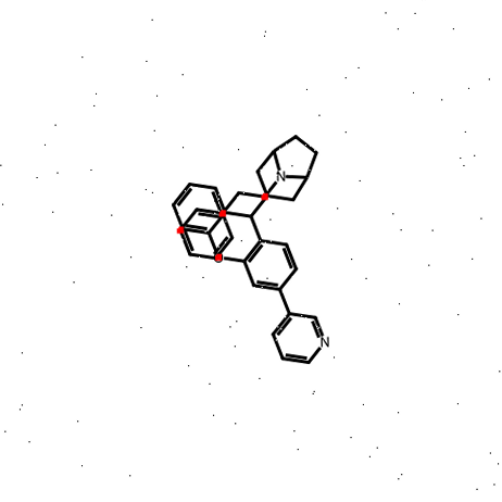 c1ccc(CCN2C3CCC2CC(C2c4ccccc4Oc4cc(-c5cccnc5)ccc42)C3)cc1